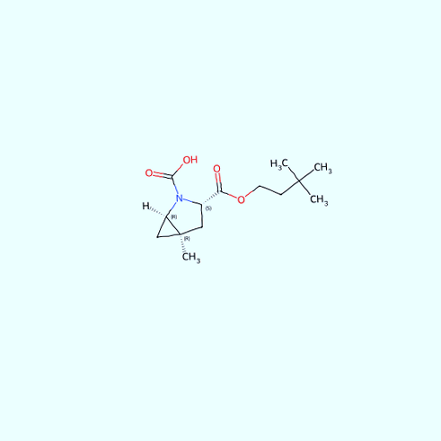 CC(C)(C)CCOC(=O)[C@@H]1C[C@@]2(C)C[C@H]2N1C(=O)O